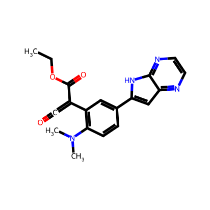 CCOC(=O)C(=C=O)c1cc(-c2cc3nccnc3[nH]2)ccc1N(C)C